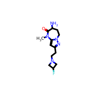 CN1C(=O)C(N)CCn2nc(CCN3CC(F)C3)cc21